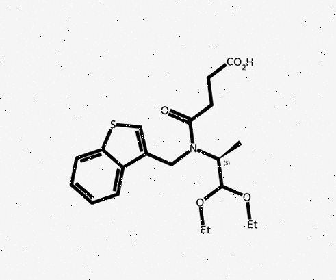 CCOC(OCC)[C@H](C)N(Cc1csc2ccccc12)C(=O)CCC(=O)O